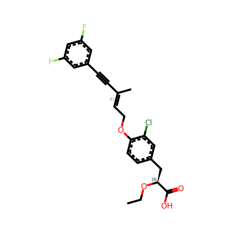 CCO[C@@H](Cc1ccc(OC/C=C(\C)C#Cc2cc(F)cc(F)c2)c(Cl)c1)C(=O)O